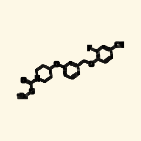 CC(C)(C)OC(=O)N1CCC(Oc2cccc(COc3ccc(C#N)cc3F)c2)CC1